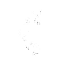 CC(=O)N1CC2C[C@H]1CN2Cc1ccc(Oc2nc3ncc(C)cc3s2)cc1